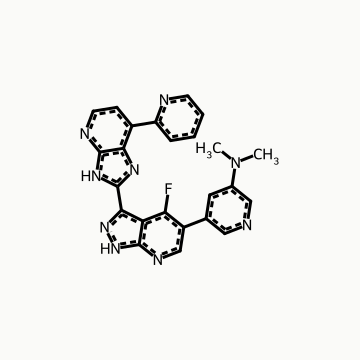 CN(C)c1cncc(-c2cnc3[nH]nc(-c4nc5c(-c6ccccn6)ccnc5[nH]4)c3c2F)c1